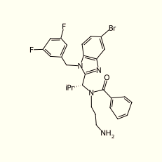 CC(C)[C@H](c1nc2cc(Br)ccc2n1Cc1cc(F)cc(F)c1)N(CCCN)C(=O)c1ccccc1